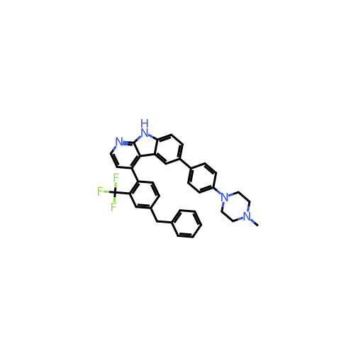 CN1CCN(c2ccc(-c3ccc4[nH]c5nccc(-c6ccc(Cc7ccccc7)cc6C(F)(F)F)c5c4c3)cc2)CC1